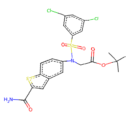 CC(C)(C)OC(=O)CN(c1ccc2sc(C(N)=O)cc2c1)S(=O)(=O)c1cc(Cl)cc(Cl)c1